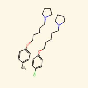 Clc1ccc(OCCCCCN2CCCC2)cc1.O=[N+]([O-])c1ccc(OCCCCCN2CCCC2)cc1